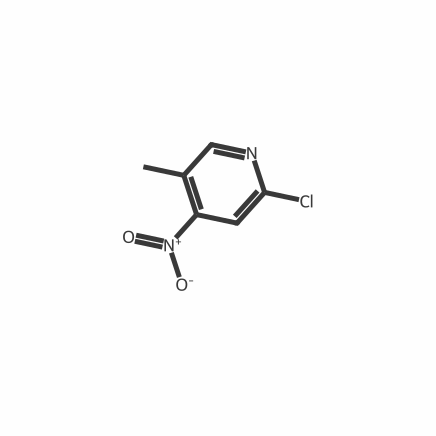 Cc1cnc(Cl)cc1[N+](=O)[O-]